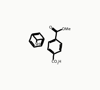 COC(=O)c1ccc(C(=O)O)cc1.SC1c2cccc1c2